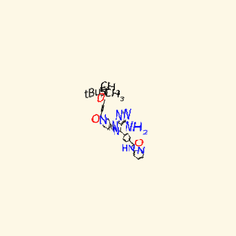 CC(C)(C)[Si](C)(C)OCC#CC(=O)N1CC[C@@H](n2nc(-c3ccc(C(=O)Nc4ccccn4)cc3)c3c(N)ncnc32)C1